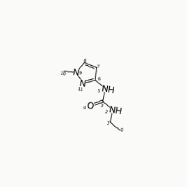 CCNC(=O)Nc1ccn(C)n1